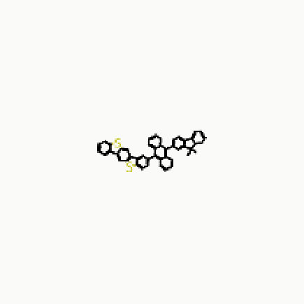 CC1(C)c2ccccc2-c2ccc(-c3c4ccccc4c(-c4ccc5sc6cc7c(cc6c5c4)sc4ccccc47)c4ccccc34)cc21